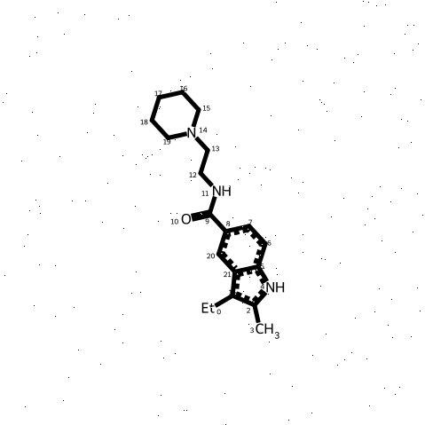 CCc1c(C)[nH]c2ccc(C(=O)NCCN3CCCCC3)cc12